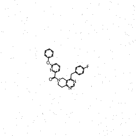 O=C(c1cccc(Oc2ccccc2)n1)N1CCc2ncnc(Cc3ccc(F)cc3)c2C1